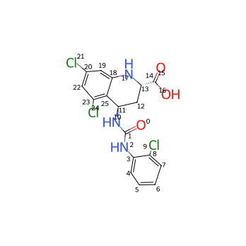 O=C(Nc1ccccc1Cl)N[C@@H]1C[C@@H](C(=O)O)Nc2cc(Cl)cc(Cl)c21